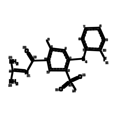 Cc1cc(Sc2ccccc2F)c(S(C)(=O)=O)cc1C(=O)N=C(N)N